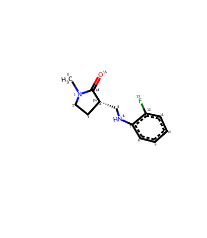 CN1CC[C@@H](CNc2ccccc2F)C1=O